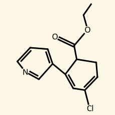 CCOC(=O)C1CC=C(Cl)C=C1c1cccnc1